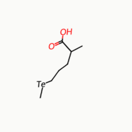 C[Te]CCCC(C)C(=O)O